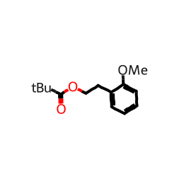 COc1ccccc1CCOC(=O)C(C)(C)C